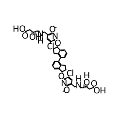 COc1nc(OC2CCc3c(-c4cccc5c4CCC5Oc4nc(OC)c(CNC[C@@H](O)CC(=O)O)cc4Cl)cccc32)c(Cl)cc1CNC[C@@H](O)CC(=O)O